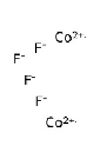 [Co+2].[Co+2].[F-].[F-].[F-].[F-]